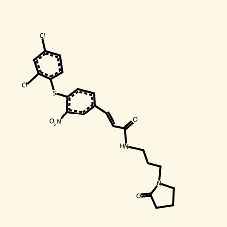 O=C(C=Cc1ccc(Sc2ccc(Cl)cc2Cl)c([N+](=O)[O-])c1)NCCCN1CCCC1=O